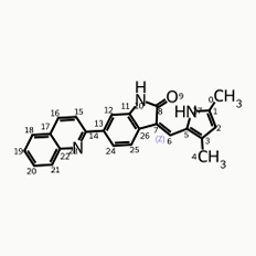 Cc1cc(C)c(/C=C2\C(=O)Nc3cc(-c4ccc5ccccc5n4)ccc32)[nH]1